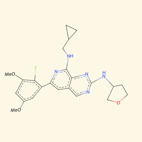 COc1cc(OC)c(F)c(-c2cc3cnc(NC4CCOC4)nc3c(NCC3CC3)n2)c1